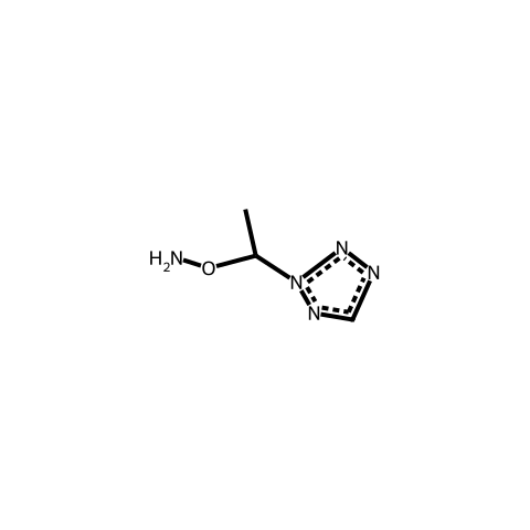 CC(ON)n1ncnn1